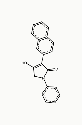 O=C1C(c2ccc3ccccc3c2)=C(O)CN1c1ccccc1